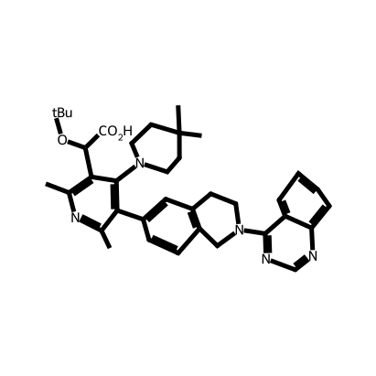 Cc1nc(C)c(C(OC(C)(C)C)C(=O)O)c(N2CCC(C)(C)CC2)c1-c1ccc2c(c1)CCN(c1ncnc3ccccc13)C2